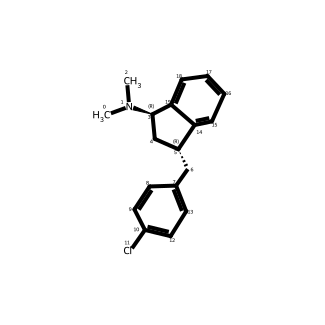 CN(C)[C@@H]1C[C@@H](Cc2ccc(Cl)cc2)c2ccccc21